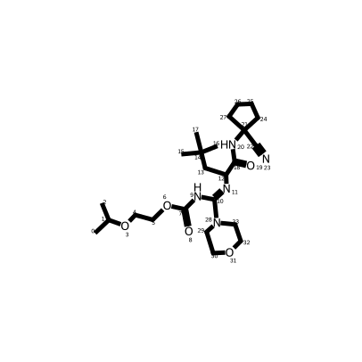 CC(C)OCCOC(=O)N/C(=N\C(CC(C)(C)C)C(=O)NC1(C#N)CCCC1)N1CCOCC1